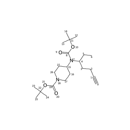 C#CCCC(CC)N(C(=O)OC(C)(C)C)C1CCN(C(=O)OC(C)(C)C)CC1